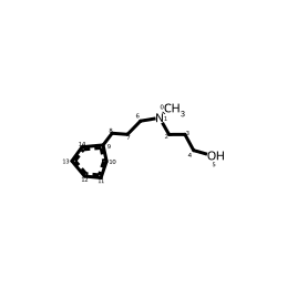 CN(CCCO)CCCc1ccccc1